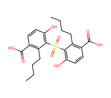 CCCCc1c(C(=O)O)ccc(O)c1S(=O)(=O)c1c(O)ccc(C(=O)O)c1CCCC